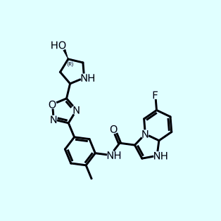 Cc1ccc(-c2noc(C3C[C@@H](O)CN3)n2)cc1NC(=O)C1=CNC2C=CC(F)=CN12